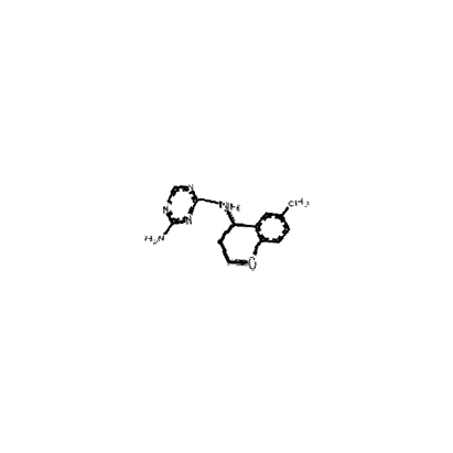 Cc1ccc2c(c1)C(Nc1ncnc(N)n1)CCO2